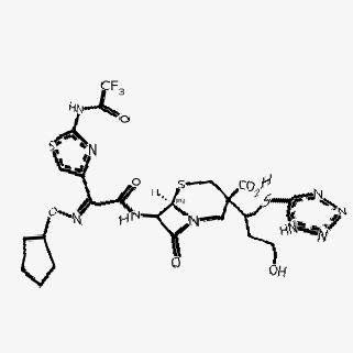 O=C(NC1C(=O)N2CC(C(=O)O)(C(CCO)Sc3nnn[nH]3)CS[C@H]12)C(=NOC1CCCC1)c1csc(NC(=O)C(F)(F)F)n1